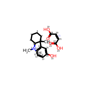 CN(C)C1CCCCC1(C)c1cccc(O)c1.O=C(O)/C=C\C(=O)O